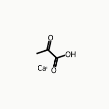 CC(=O)C(=O)O.[Ca]